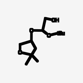 CC(C)(C)OC(CO)OC1COC(C)(C)C1